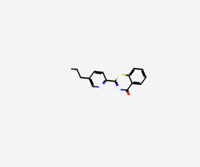 O=C(O)CCc1ccc(-c2nc(=O)c3ccccc3s2)nc1